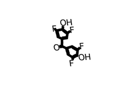 O=C(c1cc(F)c(O)c(F)c1)c1cc(F)c(O)c(F)c1